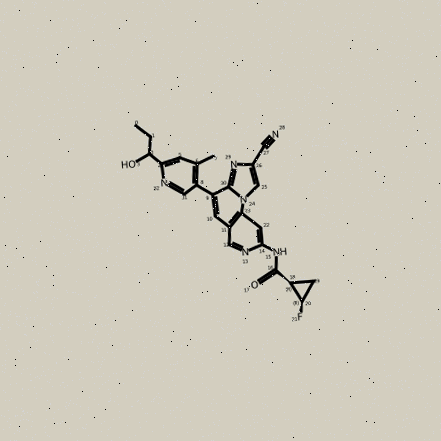 CCC(O)c1cc(C)c(-c2cc3cnc(NC(=O)[C@H]4C[C@H]4F)cc3n3cc(C#N)nc23)cn1